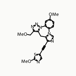 COCc1nnn2c1Cc1c(C#Cc3cnc(OC)s3)ncn1-c1ccc(OC)cc1-2